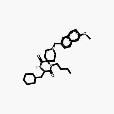 CCCCN1C(=O)C(CC2CCCCC2)NC(=O)C12CCN(Cc1ccc3cc(OC)ccc3c1)CC2